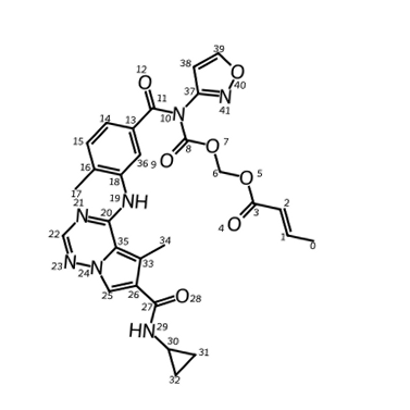 C/C=C/C(=O)OCOC(=O)N(C(=O)c1ccc(C)c(Nc2ncnn3cc(C(=O)NC4CC4)c(C)c23)c1)c1ccon1